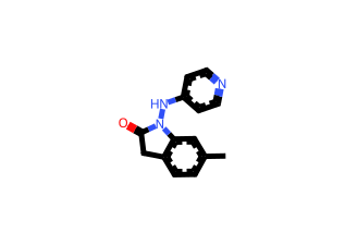 Cc1ccc2c(c1)N(Nc1ccncc1)C(=O)C2